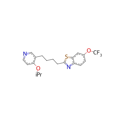 CC(C)Oc1ccncc1CCCCc1nc2ccc(OC(F)(F)F)cc2s1